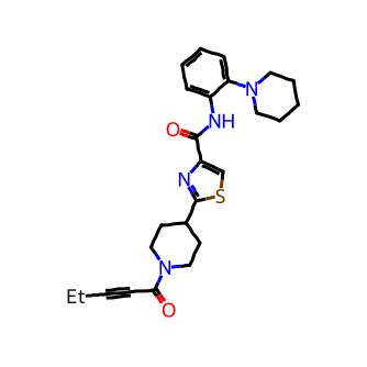 CCC#CC(=O)N1CCC(c2nc(C(=O)Nc3ccccc3N3CCCCC3)cs2)CC1